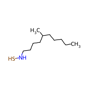 CCCCCC(C)CCCCNS